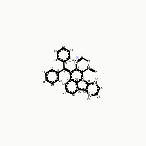 C=Nc1c(/N=C\C)c(=C(c2ccccc2)c2ccccc2)c2cccc3c4nccnc4n1c23